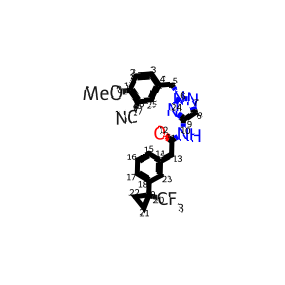 COc1ccc(Cn2ncc(NC(=O)Cc3cccc(C4(C(F)(F)F)CC4)c3)n2)cc1C#N